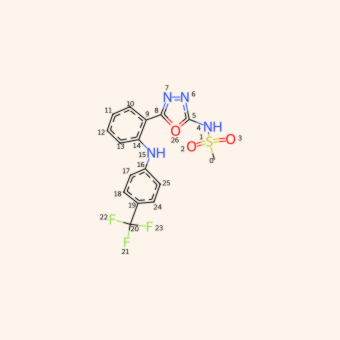 CS(=O)(=O)Nc1nnc(-c2ccccc2Nc2ccc(C(F)(F)F)cc2)o1